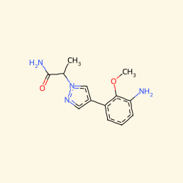 COc1c(N)cccc1-c1cnn(C(C)C(N)=O)c1